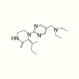 C=C1NCCN(c2ncc(CN(CC)CC)cn2)/C1=C(\C)CC